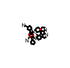 N#Cc1ccc2c(c1)c1cc(C#N)ccc1n2-c1cccc2c1Sc1c(-n3c4ccccc4c4ccccc43)cccc1C21c2cccnc2-c2ncccc21